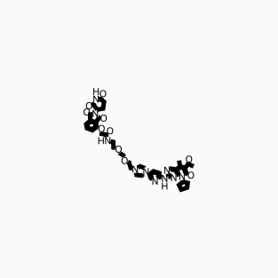 CC(=O)c1c(C)c2cnc(Nc3ccc(N4CCN(CCOCCOCCNC(=O)COc5cccc6c5C(=O)N(C5CCC(=O)NC5=O)C6=O)CC4)cn3)nc2n(C2CCCC2)c1=O